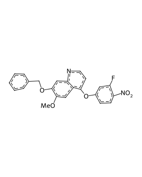 COc1cc2c(Oc3ccc([N+](=O)[O-])c(F)c3)ccnc2cc1OCc1ccccc1